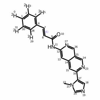 [2H]c1c([2H])c([2H])c(/C=C/C(=O)Nc2cc3cc(-c4cncn4C)ncc3cn2)c([2H])c1[2H]